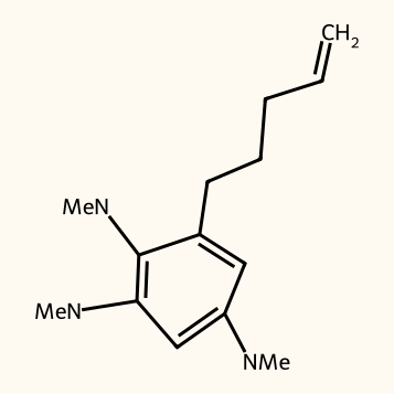 C=CCCCc1cc(NC)cc(NC)c1NC